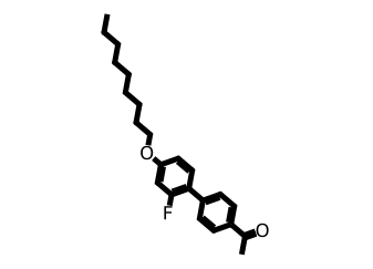 CCCCCCCCCOc1ccc(-c2ccc(C(C)=O)cc2)c(F)c1